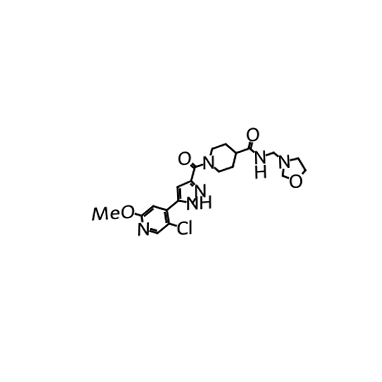 COc1cc(-c2cc(C(=O)N3CCC(C(=O)NCN4CCOC4)CC3)n[nH]2)c(Cl)cn1